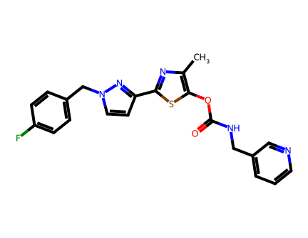 Cc1nc(-c2ccn(Cc3ccc(F)cc3)n2)sc1OC(=O)NCc1cccnc1